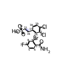 NC(=O)c1ccc(F)cc1Br.O=S(=O)(O)/C=C/c1ccc(Cl)c(Cl)c1